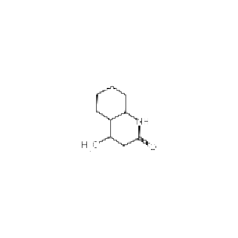 CC1CC(=O)NC2CCCCC12